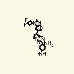 CNC1CCC(N)(c2ncc3c(-c4cnc5nc(C)n(C6CC(F)(F)C6)c5c4)ccn3n2)CC1